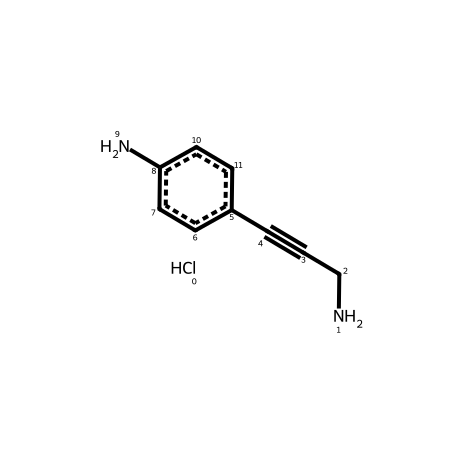 Cl.NCC#Cc1ccc(N)cc1